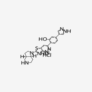 Cl.Cl.Oc1cc(-c2cn[nH]c2)ccc1-c1cc2sc(N3CC[C@H]4CNCC[C@H]43)nc2nn1